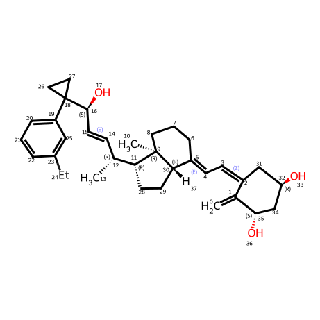 C=C1/C(=C\C=C2/CCC[C@]3(C)[C@@H]([C@H](C)/C=C/[C@H](O)C4(c5cccc(CC)c5)CC4)CC[C@@H]23)C[C@@H](O)C[C@@H]1O